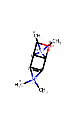 C[N+]1(C)C2=C1C13OCC21[N+]3(C)C